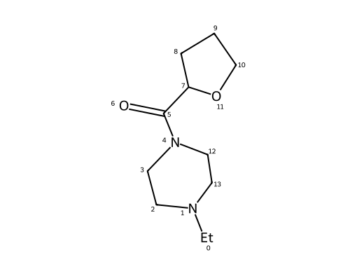 CCN1CCN(C(=O)C2CCCO2)CC1